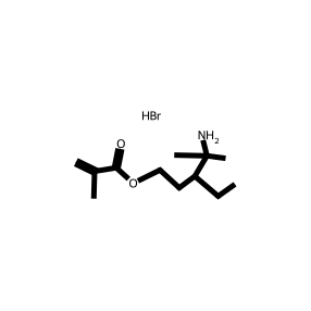 Br.C=C(C)C(=O)OCCC(CC)C(C)(C)N